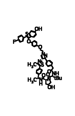 Cc1ncsc1-c1ccc([C@H](C)NC(=O)[C@@H]2C[C@@H](O)CN2C(=O)[C@@H](NC(=O)Cc2ccc(-c3ccn(CCOc4ccc(Oc5c(-c6ccc(F)cc6)sc6cc(O)ccc56)cc4)n3)cc2)C(C)(C)C)cc1